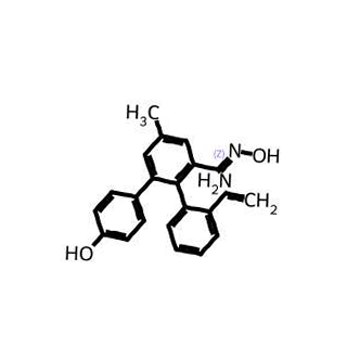 C=Cc1ccccc1-c1c(/C(N)=N/O)cc(C)cc1-c1ccc(O)cc1